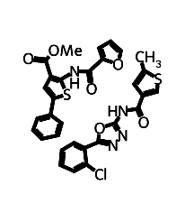 COC(=O)c1cc(-c2ccccc2)sc1NC(=O)c1ccco1.Cc1cc(C(=O)Nc2nnc(-c3ccccc3Cl)o2)cs1